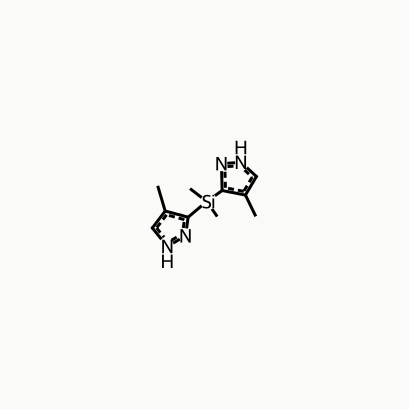 Cc1c[nH]nc1[Si](C)(C)c1n[nH]cc1C